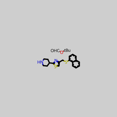 CC(C)(C)OC=O.c1ccc2c(SCc3csc(C4CCNCC4)n3)cccc2c1